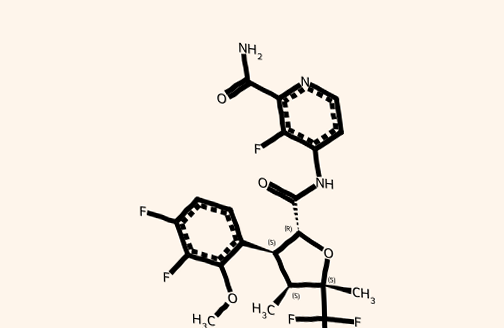 COc1c([C@H]2[C@H](C(=O)Nc3ccnc(C(N)=O)c3F)O[C@](C)(C(F)(F)F)[C@H]2C)ccc(F)c1F